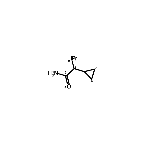 CC(C)C(C(N)=O)C1CC1